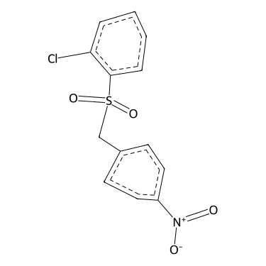 O=[N+]([O-])c1ccc(CS(=O)(=O)c2ccccc2Cl)cc1